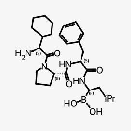 CC(C)C[C@H](NC(=O)[C@H](Cc1ccccc1)NC(=O)[C@@H]1CCCN1C(=O)[C@@H](N)C1CCCCC1)B(O)O